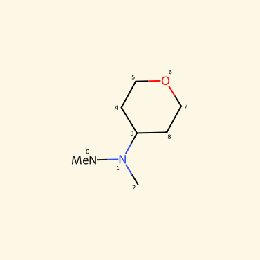 CNN(C)C1CCOCC1